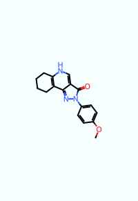 COc1ccc(-n2nc3c4c([nH]cc-3c2=O)CCCC4)cc1